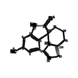 N#Cc1ccc2c(c1)NC(=O)C21CCCc2cncn21